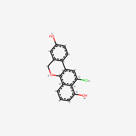 Oc1ccc2c(c1)COc1c-2cc(Cl)c2c(O)cccc12